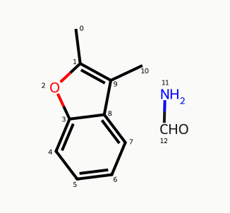 Cc1oc2ccccc2c1C.NC=O